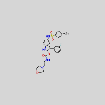 CC(C)(C)c1ccc(S(=O)(=O)Nc2ccc3[nH]c(OC(=O)NCCN4CCOCC4)c(-c4cccc(F)c4)c3c2)cc1